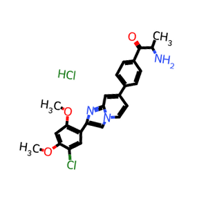 COc1cc(OC)c(-c2cn3ccc(-c4ccc(C(=O)C(C)N)cc4)cc3n2)cc1Cl.Cl